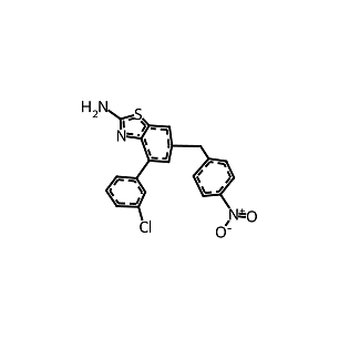 Nc1nc2c(-c3cccc(Cl)c3)cc(Cc3ccc([N+](=O)[O-])cc3)cc2s1